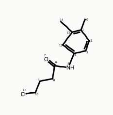 Cc1ccc(NC(=O)CCCCl)cc1C